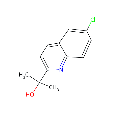 CC(C)(O)c1ccc2cc(Cl)ccc2n1